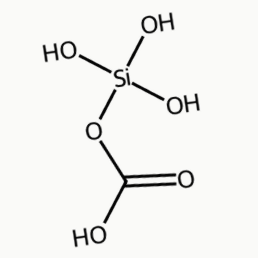 O=C(O)O[Si](O)(O)O